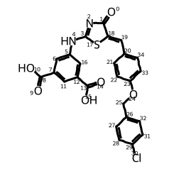 O=C1N=C(Nc2cc(C(=O)O)cc(C(=O)O)c2)S/C1=C\c1ccc(OCc2ccc(Cl)cc2)cc1